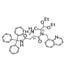 CCOC(OCC)[C@H](C)N(Cc1cccc2cccnc12)C(=O)[C@@H](N)CC(=O)NC(c1ccccc1)(c1ccccc1)c1ccccc1